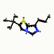 CCC[CH2][Sn]([CH2]CCC)([CH2]CCC)[c]1cn2cnc(C=CC(C)=O)c2s1